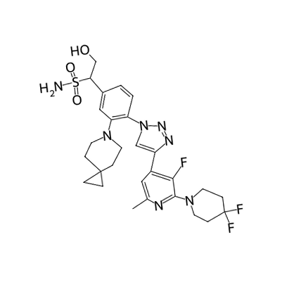 Cc1cc(-c2cn(-c3ccc(C(CO)S(N)(=O)=O)cc3N3CCC4(CC3)CC4)nn2)c(F)c(N2CCC(F)(F)CC2)n1